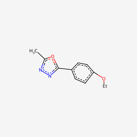 CCOc1ccc(-c2nnc(C)o2)cc1